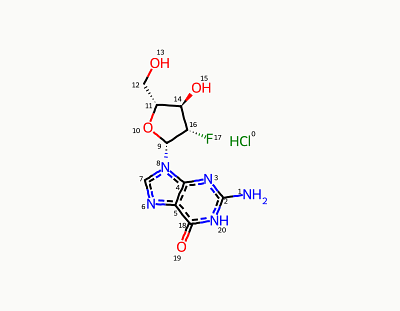 Cl.Nc1nc2c(ncn2[C@@H]2O[C@H](CO)[C@@H](O)[C@@H]2F)c(=O)[nH]1